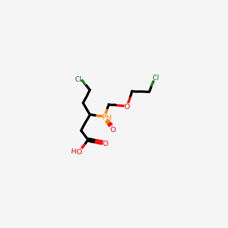 O=C(O)CC(CCCl)[PH](=O)COCCCl